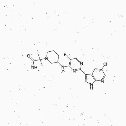 CC(C)(C(N)=O)N1CCCC(Nc2nc(-c3c[nH]c4ncc(Cl)cc34)ncc2F)C1